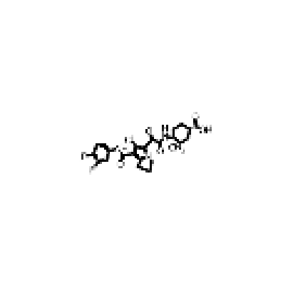 C[C@]1(NC(=O)C(=O)c2c(Cl)c(C(=O)Nc3ccc(F)c(F)c3)c3n2CCC3)CC[C@H](C(=O)O)CC1